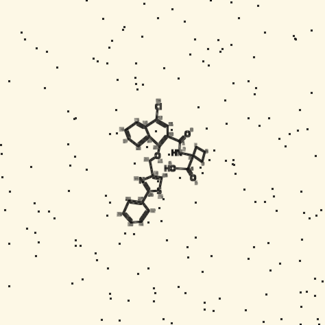 O=C(NC1(C(=O)O)CCC1)c1cc(Cl)c2ccccc2c1OCc1csc(-c2ccccc2)n1